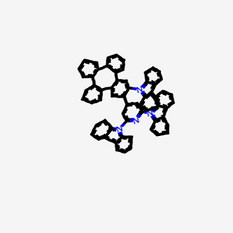 c1ccc2c(c1)-c1ccccc1-c1cc(-c3cc(-n4c5ccccc5c5ccccc54)nc(-n4c5ccccc5c5ccccc54)c3)c(-n3c4ccccc4c4ccccc43)cc1-c1ccccc1-2